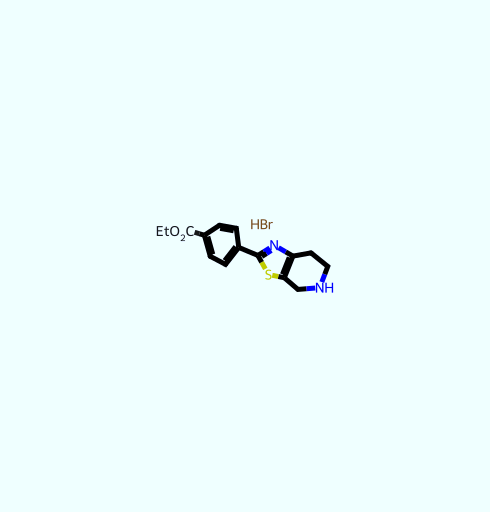 Br.CCOC(=O)c1ccc(-c2nc3c(s2)CNCC3)cc1